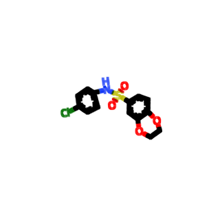 O=S(=O)(Nc1ccc(Cl)cc1)c1ccc2c(c1)OCCO2